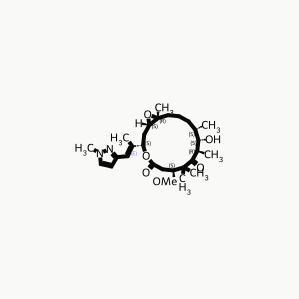 CO[C@H]1CC(=O)O[C@H](/C(C)=C/c2ccn(C)n2)C[C@@H]2O[C@]2(C)CCC[C@H](C)[C@H](O)[C@@H](C)C(=O)C1(C)C